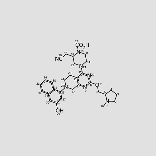 CN1CCCC1COc1nc2c(c(N3CCN(C(=O)O)C(CC#N)C3)n1)CCN(c1cc(O)cc3ccccc13)C2